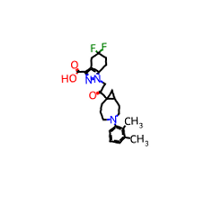 Cc1cccc(N2CCCC3(C(=O)Cn4nc(C(=O)O)c5c4CCC(F)(F)C5)CC3CC2)c1C